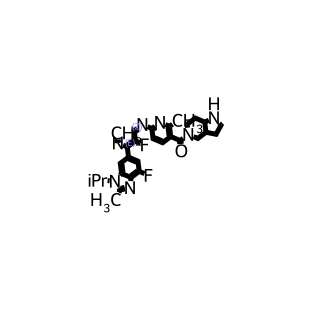 C=N/C(=C(F)\C=N/c1ccc(C(=O)N2CCC3NCCC3C2)c(C)n1)c1cc(F)c2nc(C)n(C(C)C)c2c1